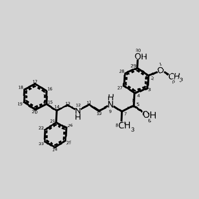 COc1cc(C(O)C(C)NCCNCC(c2ccccc2)c2ccccc2)ccc1O